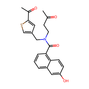 CC(=O)CCN(Cc1csc(C(C)=O)c1)C(=O)c1cccc2cc(O)ccc12